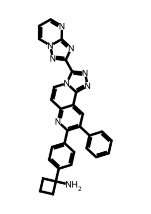 NC1(c2ccc(-c3nc4ccn5c(-c6nc7ncccn7n6)nnc5c4cc3-c3ccccc3)cc2)CCC1